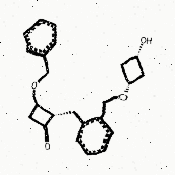 O=C1CC(OCc2ccccc2)[C@@H]1Cc1ccccc1CO[C@H]1C[C@@H](O)C1